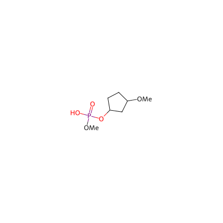 COC1CCC(OP(=O)(O)OC)C1